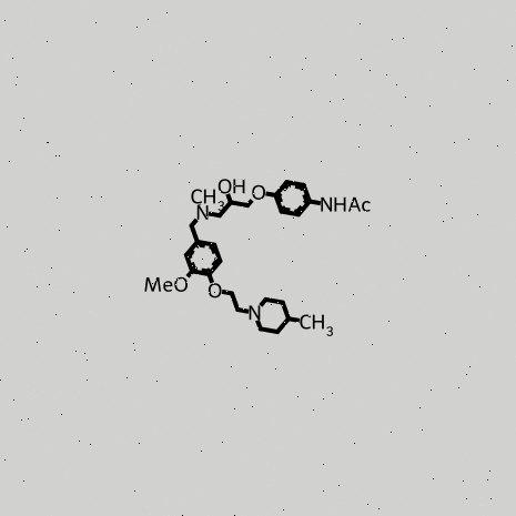 COc1cc(CN(C)CC(O)COc2ccc(NC(C)=O)cc2)ccc1OCCN1CCC(C)CC1